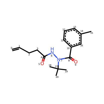 C=CCCC(=O)NN(C(=O)c1cccc(C)c1)C(C)(C)C